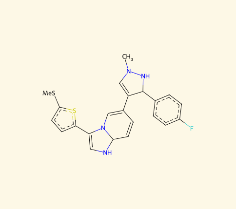 CSc1ccc(C2=CNC3C=CC(C4=CN(C)NC4c4ccc(F)cc4)=CN23)s1